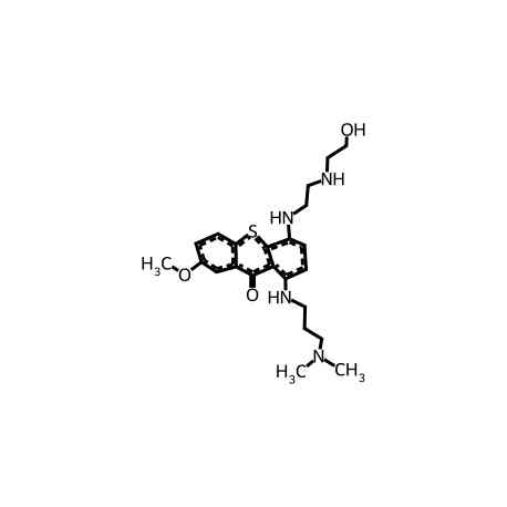 COc1ccc2sc3c(NCCNCCO)ccc(NCCCN(C)C)c3c(=O)c2c1